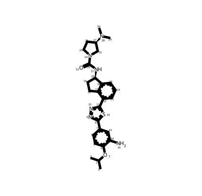 CC(C)Oc1ccc(-c2nnc(-c3cccc4c3CC[C@H]4NC(=O)N3CC[C@@H](N(C)C)C3)s2)cc1N